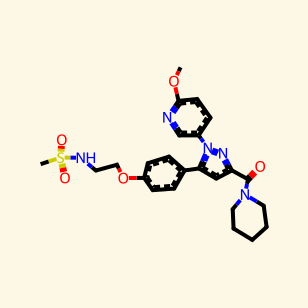 COc1ccc(-n2nc(C(=O)N3CCCCC3)cc2-c2ccc(OCCNS(C)(=O)=O)cc2)cn1